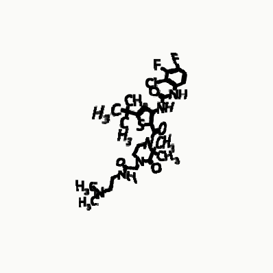 CN(C)CCNC(=O)CN1CCN(C(=O)c2sc(C(C)(C)C)cc2NC(=O)Nc2ccc(F)c(F)c2Cl)C(C)(C)C1=O